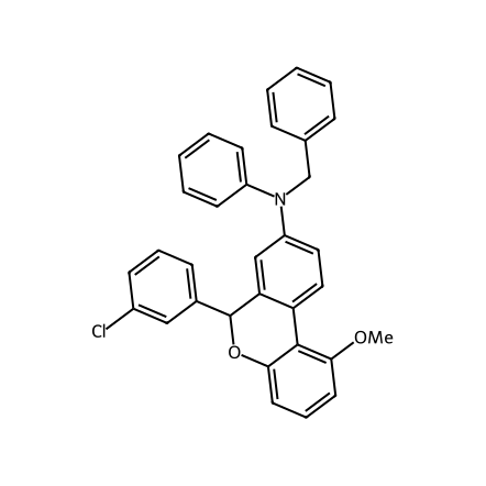 COc1cccc2c1-c1ccc(N(Cc3ccccc3)c3ccccc3)cc1C(c1cccc(Cl)c1)O2